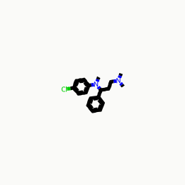 CN(C)CCC(c1ccccc1)N(C)c1ccc(Cl)cc1